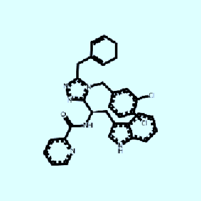 O=C(N[C@H](Cc1c[nH]c2ccccc12)c1nnc(CC2=CCCC=C2)n1Cc1ccc(Cl)c(Cl)c1)c1ccccn1